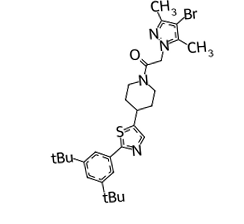 Cc1nn(CC(=O)N2CCC(c3cnc(-c4cc(C(C)(C)C)cc(C(C)(C)C)c4)s3)CC2)c(C)c1Br